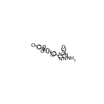 Nc1nc(N2CCOCC2)c2nc(-c3ccc(N4CCN(S(=O)(=O)c5ccc(Cl)cc5)CC4)nc3)cnc2n1